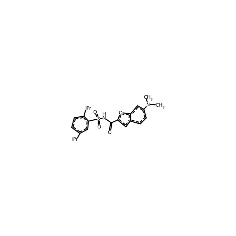 CC(C)c1ccc(C(C)C)c(S(=O)(=O)NC(=O)c2cc3ccc(N(C)C)cc3o2)c1